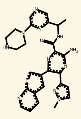 CC(NC(=O)c1nc(-c2ccc3ncccc3c2)c(-c2ccn(C)n2)nc1N)c1cncc(N2CCNCC2)n1